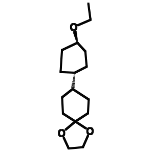 CCO[C@H]1CC[C@H](C2CCC3(CC2)OCCO3)CC1